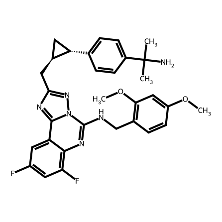 COc1ccc(CNc2nc3c(F)cc(F)cc3c3nc(C[C@H]4C[C@@H]4c4ccc(C(C)(C)N)cc4)nn23)c(OC)c1